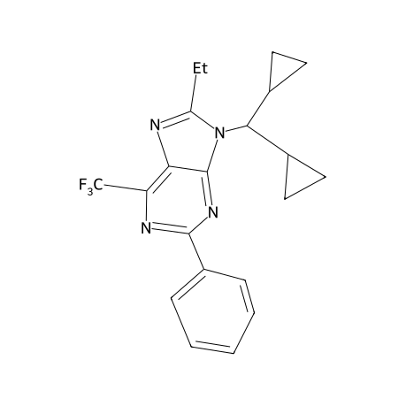 CCc1nc2c(C(F)(F)F)nc(-c3ccccc3)nc2n1C(C1CC1)C1CC1